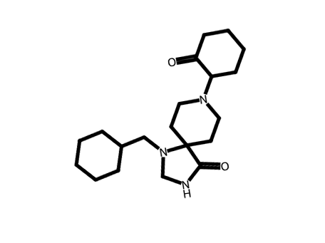 O=C1CCCCC1N1CCC2(CC1)C(=O)NCN2CC1CCCCC1